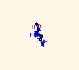 CN(C)CCNc1cc(F)cc(-c2cccc3[nH]c(-c4n[nH]c5ncc(-c6cncc(NC(=O)C7CCCC7)c6)cc45)nc23)c1